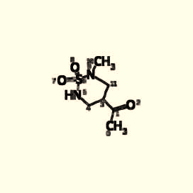 CC(=O)C1CNS(=O)(=O)N(C)C1